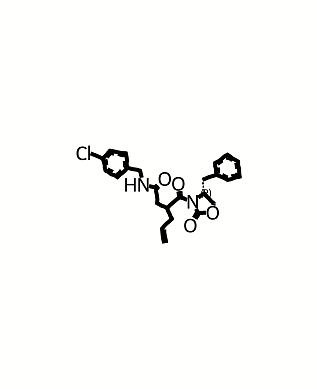 C=CCC(CC(=O)NCc1ccc(Cl)cc1)C(=O)N1C(=O)OC[C@H]1Cc1ccccc1